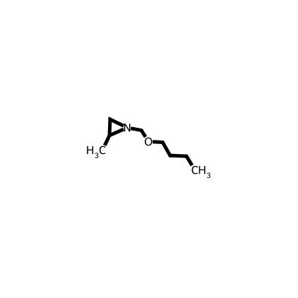 CCCCOCN1CC1C